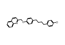 Clc1ccc(CCCCc2ccc(OCc3ccc4ccccc4n3)cc2)cc1